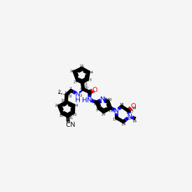 C[C@H](CN[C@H](C(=O)Nc1ccc(N2CCN(C)C(=O)C2)cn1)c1ccccc1)c1ccc(C#N)cc1